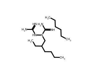 CCCCC(CC)CN(NC(=N)N)C(=N)N.CCCCCC